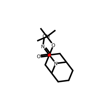 CC(C)(C)OC(=O)N1C2CCCC1CC(=NO)C2